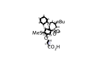 CCCC[C@@H]1CN(c2ccccc2)c2cc(SC)c(O/C=C/C(=O)O)cc2S(=O)(=O)C1